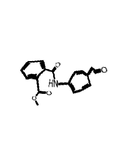 COC(=O)c1ccccc1C(=O)Nc1cccc(C=O)c1